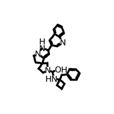 OC(NC1(Cc2ccccc2)CCC1)N1CCC2(CCN3NC(c4cnc5ccccc5c4)C=C32)C1